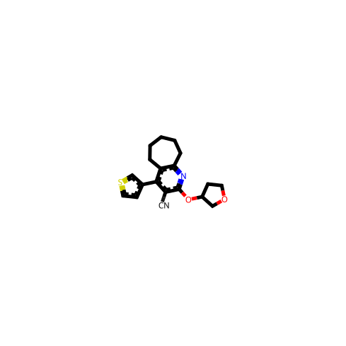 N#Cc1c(OC2CCOC2)nc2c(c1-c1ccsc1)CCCCC2